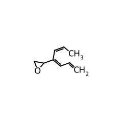 C=C/C=C(\C=C/C)C1CO1